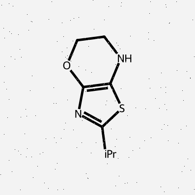 CC(C)c1nc2c(s1)NCCO2